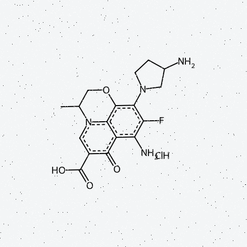 CC1COc2c(N3CCC(N)C3)c(F)c(N)c3c(=O)c(C(=O)O)cn1c23.Cl